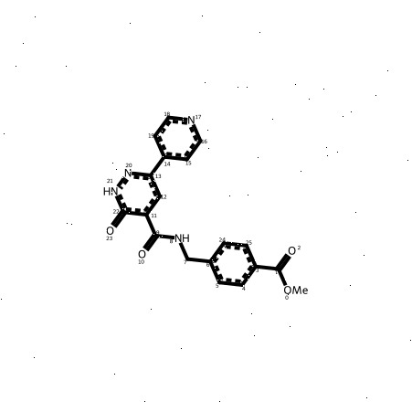 COC(=O)c1ccc(CNC(=O)c2cc(-c3ccncc3)n[nH]c2=O)cc1